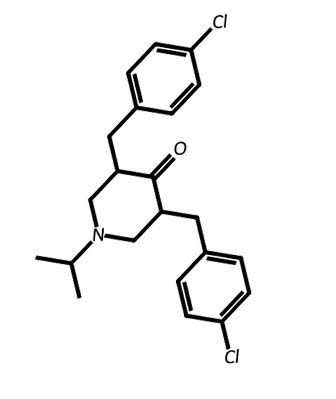 CC(C)N1CC(Cc2ccc(Cl)cc2)C(=O)C(Cc2ccc(Cl)cc2)C1